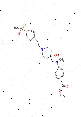 COC(=O)c1ccc(N(C)CC2(O)CCN(CCc3ccc(S(C)(=O)=O)cc3)CC2)cc1